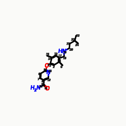 Cc1cc(Oc2ccc(C(N)=O)cn2)c(C)cc1CNCCC(C)C